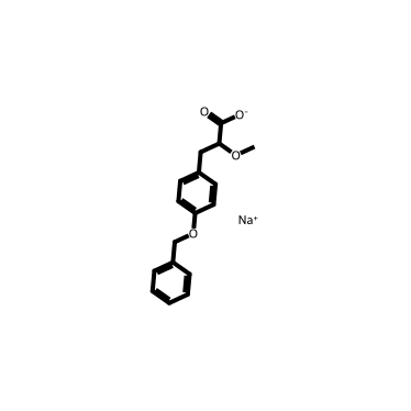 COC(Cc1ccc(OCc2ccccc2)cc1)C(=O)[O-].[Na+]